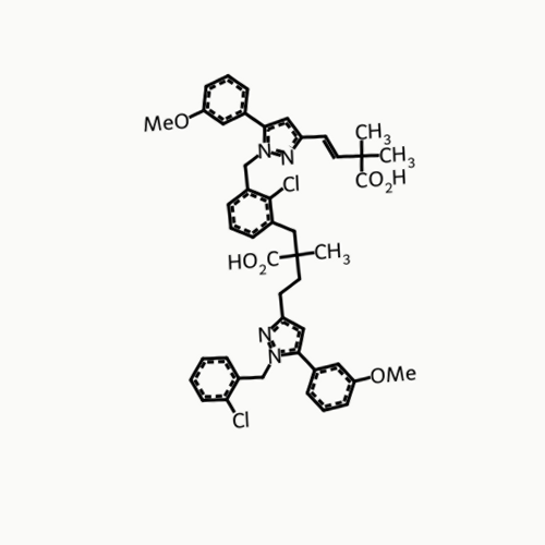 COc1cccc(-c2cc(/C=C/C(C)(C)C(=O)O)nn2Cc2cccc(CC(C)(CCc3cc(-c4cccc(OC)c4)n(Cc4ccccc4Cl)n3)C(=O)O)c2Cl)c1